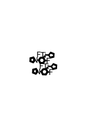 Fc1ccc(-n2cccc2)c(F)[c]1[Ti][CH]1C=CC=C1.Fc1ccc(-n2cccc2)c(F)[c]1[Ti][CH]1C=CC=C1